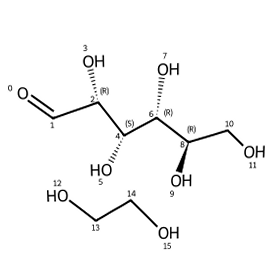 O=C[C@H](O)[C@@H](O)[C@H](O)[C@H](O)CO.OCCO